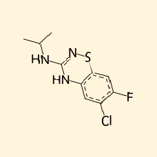 CC(C)NC1=NSc2cc(F)c(Cl)cc2N1